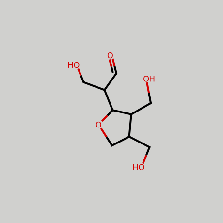 O=CC(CO)C1OCC(CO)C1CO